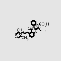 CC1COCC(C)N1CCCc1cccc2nc([C@H](C)NC(=O)O)n(-c3ccccc3)c(=O)c12